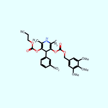 COc1cc(COC(=O)OC2=C(C)NC(C)=C(OC(=O)OCCC#N)C2c2cccc([N+](=O)[O-])c2)cc(OC)c1OC